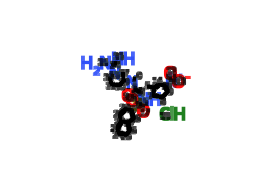 CN(C(=O)[C@H](Cc1cccc([N+](=O)[O-])c1)NS(=O)(=O)c1ccc2ccccc2c1)C1CCCN(C(=N)N)C1.Cl